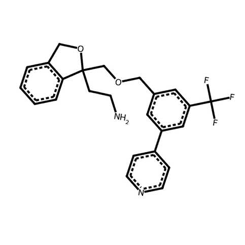 NCCC1(COCc2cc(-c3ccncc3)cc(C(F)(F)F)c2)OCc2ccccc21